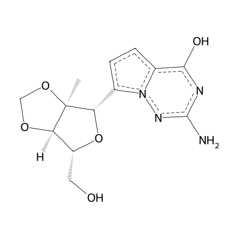 C[C@@]12OCO[C@@H]1[C@@H](CO)O[C@H]2c1ccc2c(O)nc(N)nn12